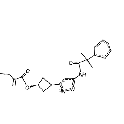 CCNC(=O)O[C@H]1C[C@@H](c2cc(NC(=O)C(C)(C)c3ccccc3)n[nH]2)C1